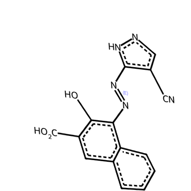 N#Cc1cn[nH]c1/N=N/c1c(O)c(C(=O)O)cc2ccccc12